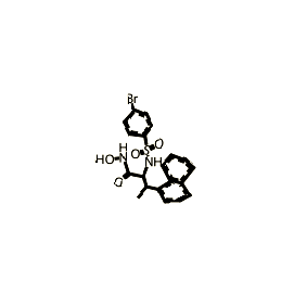 CC(c1cccc2ccccc12)C(NS(=O)(=O)c1ccc(Br)cc1)C(=O)NO